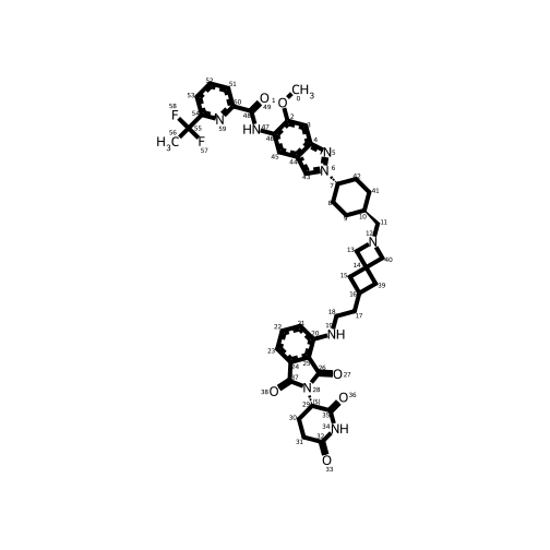 COc1cc2nn([C@H]3CC[C@H](CN4CC5(CC(CCNc6cccc7c6C(=O)N([C@H]6CCC(=O)NC6=O)C7=O)C5)C4)CC3)cc2cc1NC(=O)c1cccc(C(C)(F)F)n1